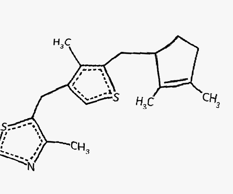 CC1=C(C)C(Cc2scc(Cc3scnc3C)c2C)CC1